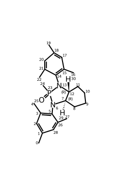 Cc1cc(C)c(N2[C@@H]3CCCC[C@H]3N(c3c(C)cc(C)cc3C)P2(C)=O)c(C)c1